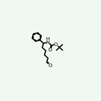 CC(C)(C)OC(=O)NC(CCCCC=O)c1ccccc1